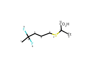 CCC(SCCCC(C)(F)F)C(=O)O